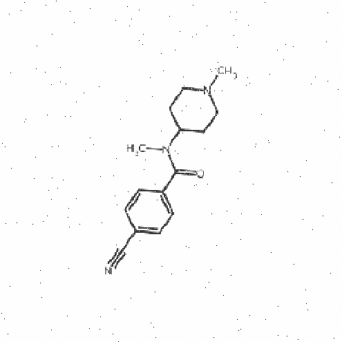 CN1CCC(N(C)C(=O)c2ccc(C#N)cc2)CC1